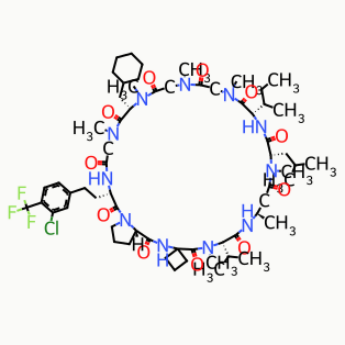 CCC(C)[C@@H]1NC(=O)[C@H](CC(C)C)N(C)C(=O)C[C@@H](C)NC(=O)[C@H](C(C)C)N(C)C(=O)C2(CCC2)NC(=O)[C@@H]2CCCN2C(=O)[C@H](CCc2ccc(C(F)(F)F)c(Cl)c2)NC(=O)CN(C)C(=O)[C@H](CC2CCCCC2)N(C)C(=O)CN(C)C(=O)CN(C)C1=O